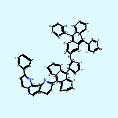 c1ccc(-c2ccc3ccc4ccc(-c5c6ccccc6c(-c6cccc(-c7ccc8c(-c9ccccc9)c9ccccc9c(-c9ccccc9)c8c7)c6)c6ccccc56)nc4c3n2)cc1